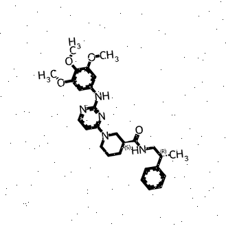 COc1cc(Nc2nccc(N3CCC[C@H](C(=O)NC[C@H](C)c4ccccc4)C3)n2)cc(OC)c1OC